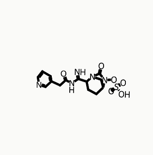 N=C(NC(=O)Cc1cccnc1)C1CCC2CN1C(=O)N2OS(=O)(=O)O